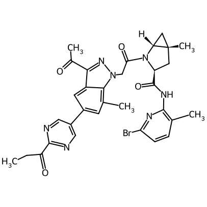 CCC(=O)c1ncc(-c2cc(C)c3c(c2)c(C(C)=O)nn3CC(=O)N2[C@H](C(=O)Nc3nc(Br)ccc3C)C[C@@]3(C)C[C@@H]23)cn1